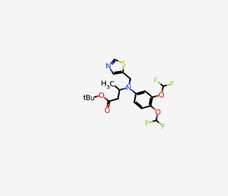 CC(CC(=O)OC(C)(C)C)N(Cc1cncs1)c1ccc(OC(F)F)c(OC(F)F)c1